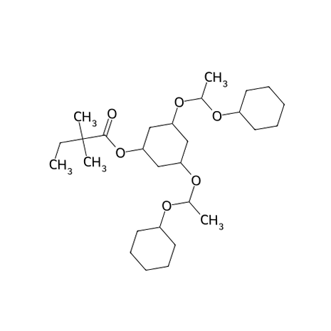 CCC(C)(C)C(=O)OC1CC(OC(C)OC2CCCCC2)CC(OC(C)OC2CCCCC2)C1